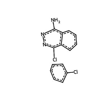 Clc1ccccc1.Nc1nnc(Cl)c2ccccc12